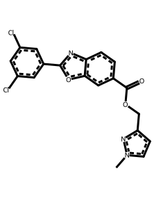 Cn1ccc(COC(=O)c2ccc3nc(-c4cc(Cl)cc(Cl)c4)oc3c2)n1